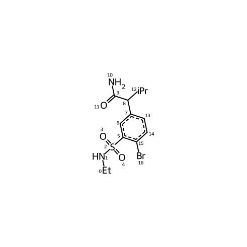 CCNS(=O)(=O)c1cc(C(C(N)=O)C(C)C)ccc1Br